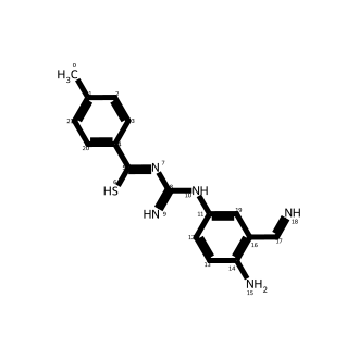 Cc1ccc(/C(S)=N/C(=N)Nc2ccc(N)c(C=N)c2)cc1